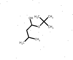 CC(C)CC(O)OC(C)(C)C